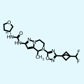 CC1c2cc(NC(=O)N[C@@H]3CCOC3)nn2CCN1c1nc(C23CC(C(F)F)(C2)C3)no1